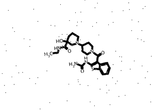 CCNC(=O)C1(O)CCCN(C2CCN(C(=O)c3c(NC(N)=O)sc4ccccc34)CC2)C1